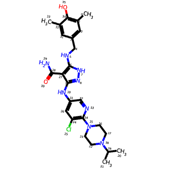 Cc1cc(CNc2[nH]nc(Nc3cnc(N4CCN(C(C)C)CC4)c(Cl)c3)c2C(N)=O)cc(C)c1O